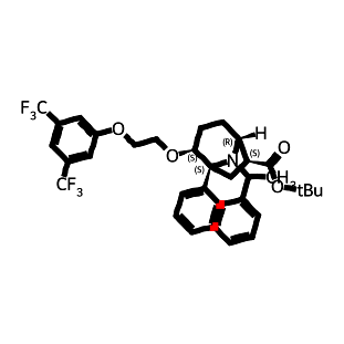 CC(c1ccccc1)N1[C@@H]2CC[C@H](OCCOc3cc(C(F)(F)F)cc(C(F)(F)F)c3)[C@@]1(c1ccccc1)C[C@@H]2C(=O)OC(C)(C)C